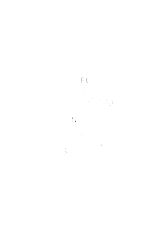 CCC(=O)n1ccsc1=S